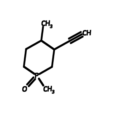 C#CC1CP(C)(=O)CCC1C